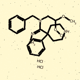 CN=C(N(Cc1ccccc1)CC(OC)OC)C1(c2ccccc2)CCNCC1.Cl.Cl